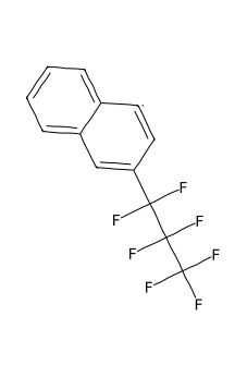 FC(F)(F)C(F)(F)C(F)(F)c1c[c]c2ccccc2c1